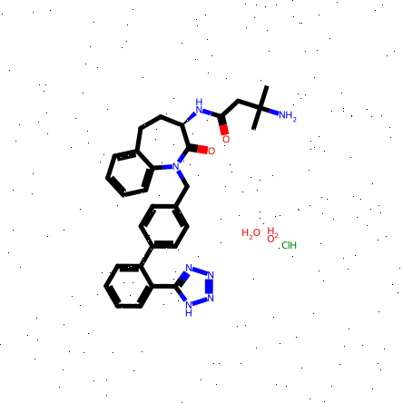 CC(C)(N)CC(=O)N[C@@H]1CCc2ccccc2N(Cc2ccc(-c3ccccc3-c3nnn[nH]3)cc2)C1=O.Cl.O.O